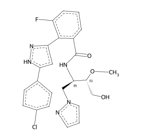 CO[C@H](CO)[C@@H](Cn1cccn1)NC(=O)c1cccc(F)c1-c1cc(-c2ccc(Cl)cc2)[nH]n1